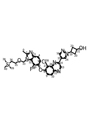 Cc1nc2ccc(Oc3ccc4ncc(-c5cnn(C6CC(O)C6)c5)nc4c3Cl)c(F)c2n1COCC[Si](C)(C)C